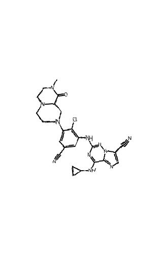 CN1CCN2CCN(c3cc(C#N)cc(Nc4nc(NC5CC5)c5ncc(C#N)n5n4)c3Cl)CC2C1=O